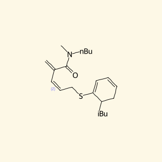 C=C(/C=C\CSC1=CC=CCC1C(C)CC)C(=O)N(C)CCCC